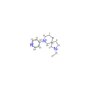 CCN1CCC2(CCCN(c3ccncc3)C2)C1